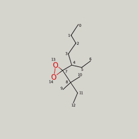 CCCCC(CC)C1(C(C)(C)CC)OO1